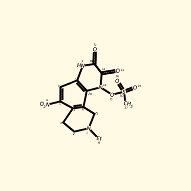 CCN1CCc2c([N+](=O)[O-])cc3[nH]c(=O)c(=O)n(OS(C)(=O)=O)c3c2C1